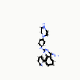 Nc1nc(Nc2ccc(N3CCNCC3)cc2)nc2c(-c3ccccn3)cccc12